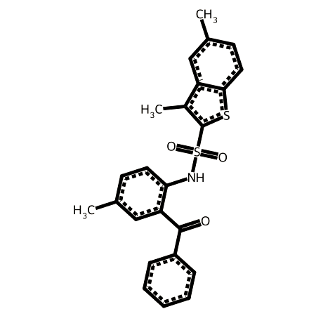 Cc1ccc(NS(=O)(=O)c2sc3ccc(C)cc3c2C)c(C(=O)c2ccccc2)c1